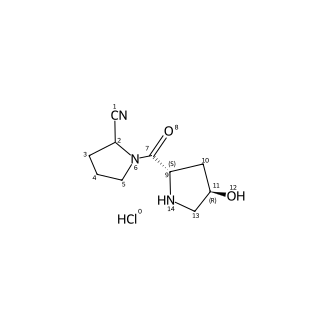 Cl.N#CC1CCCN1C(=O)[C@@H]1C[C@@H](O)CN1